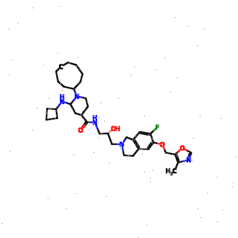 Cc1ncoc1COc1cc2c(cc1F)CN(C[C@@H](O)CNC(=O)C1CCN(C3CCCCCCCC3)C(NC3CCC3)C1)CC2